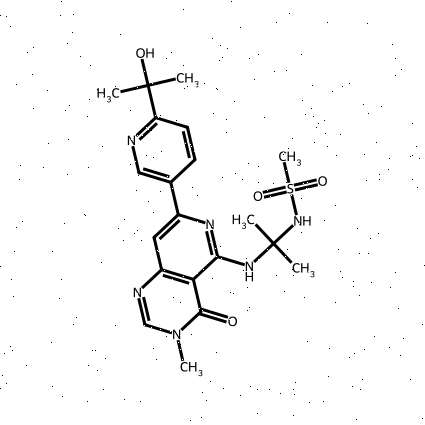 Cn1cnc2cc(-c3ccc(C(C)(C)O)nc3)nc(NC(C)(C)NS(C)(=O)=O)c2c1=O